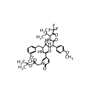 COc1ccc(C(NC(=O)C(Cc2cccc(Cl)c2)NC(=O)c2ccc(=O)n(CC(=O)OC(C)(C)C)c2)C(=O)NC(C(=O)C(F)(F)F)C(C)C)cc1